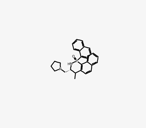 CC1c2ccc3ccccc3c2P(=O)(c2cccc3ccccc23)N[C@H]1CN1CCCC1